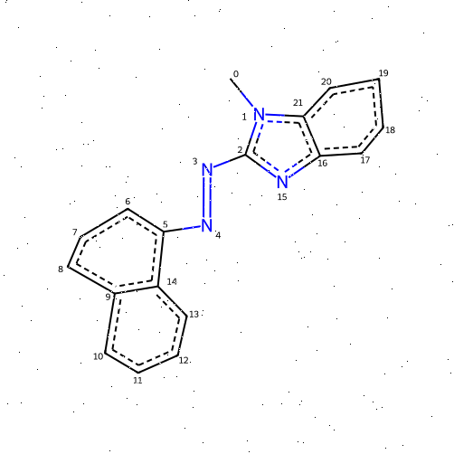 Cn1c(/N=N/c2cccc3ccccc23)nc2ccccc21